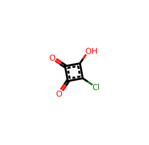 O=c1c(O)c(Cl)c1=O